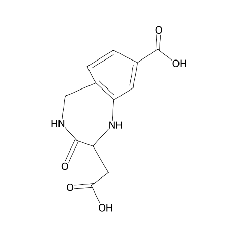 O=C(O)CC1Nc2cc(C(=O)O)ccc2CNC1=O